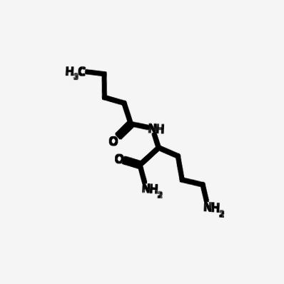 CCCCC(=O)NC(CCCN)C(N)=O